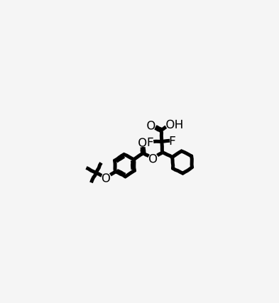 CC(C)(C)Oc1ccc(C(=O)OC(C2CCCCC2)C(F)(F)C(=O)O)cc1